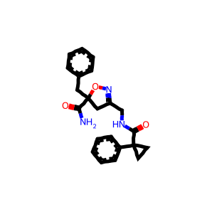 NC(=O)C1(Cc2ccccc2)CC(CNC(=O)C2(c3ccccc3)CC2)=NO1